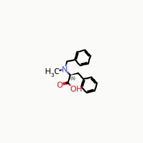 CN(Cc1ccccc1)[C@@H](Cc1ccccc1)C(=O)O